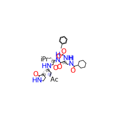 CC(=O)/C=C/[C@H](C[C@@H]1CCNC1=O)NC(=O)[C@H](CC(C)C)NC(=O)[C@H](CNC(=O)C1CCCCC1)NC(=O)OCc1ccccc1